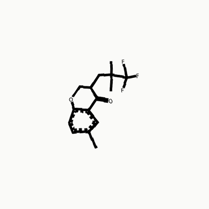 Cc1ccc2c(c1)C(=O)C(CC(C)(C)C(F)(F)F)CO2